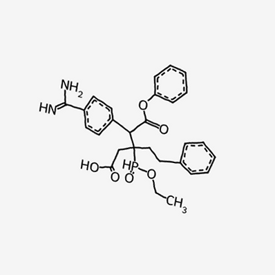 CCO[PH](=O)C(CCc1ccccc1)(CC(=O)O)C(C(=O)Oc1ccccc1)c1ccc(C(=N)N)cc1